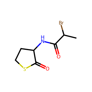 CC(Br)C(=O)NC1CCSC1=O